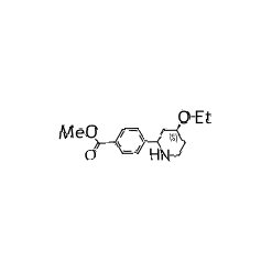 CCO[C@H]1CCNC(c2ccc(C(=O)OC)cc2)C1